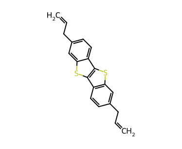 C=CCc1ccc2c(c1)sc1c3ccc(CC=C)cc3sc21